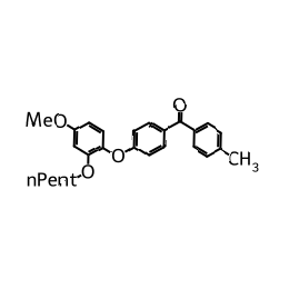 CCCCCOc1cc(OC)ccc1Oc1ccc(C(=O)c2ccc(C)cc2)cc1